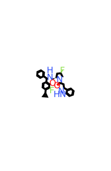 O=C(N[C@@H](c1ccccc1)c1ccc(C2CC2)c(F)c1)[C@@H]1C[C@@H](F)CN1C(=O)Cc1n[nH]c2ccccc12